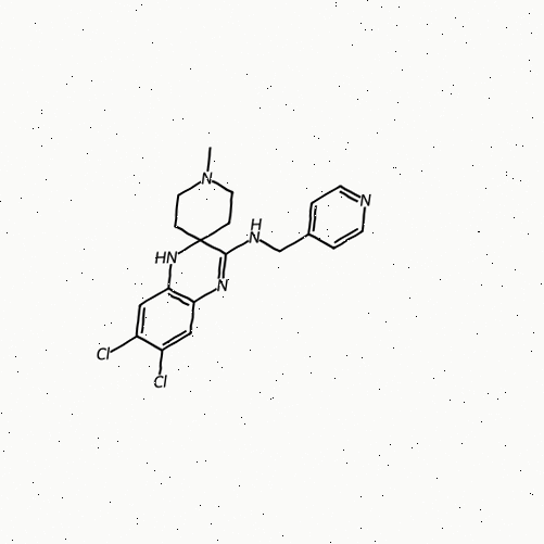 CN1CCC2(CC1)Nc1cc(Cl)c(Cl)cc1N=C2NCc1ccncc1